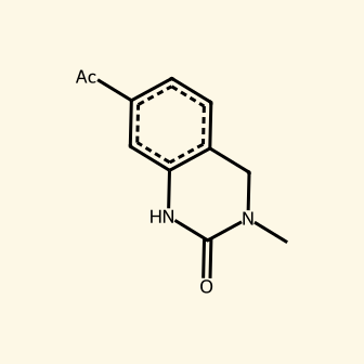 CC(=O)c1ccc2c(c1)NC(=O)N(C)C2